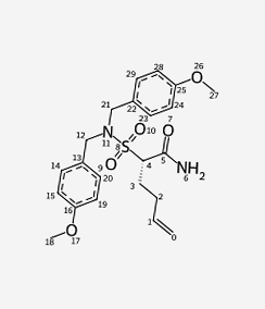 C=CCC[C@@H](C(N)=O)S(=O)(=O)N(Cc1ccc(OC)cc1)Cc1ccc(OC)cc1